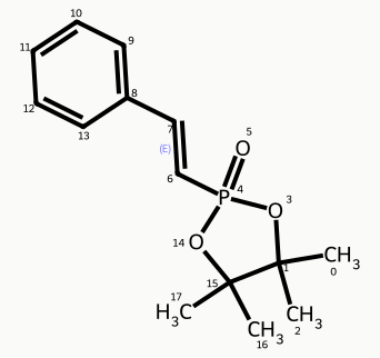 CC1(C)OP(=O)(/C=C/c2ccccc2)OC1(C)C